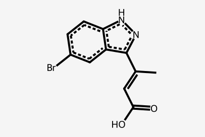 CC(=CC(=O)O)c1n[nH]c2ccc(Br)cc12